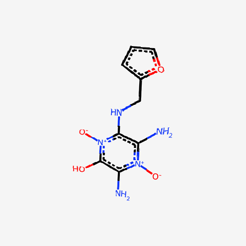 Nc1c(O)[n+]([O-])c(NCc2ccco2)c(N)[n+]1[O-]